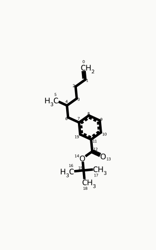 C=CCCC(C)Cc1cccc(C(=O)OC(C)(C)C)c1